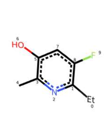 CCc1nc(C)c(O)cc1F